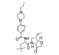 CCCN1CCN(c2ccc(C(=O)NC(CC(C)(C)C)C(=O)N3C[C@@H](CC)[C@H]4OCC(=O)[C@H]43)cc2)CC1